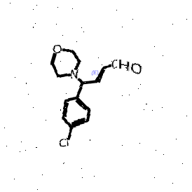 O=C/C=C/C(c1ccc(Cl)cc1)N1CCOCC1